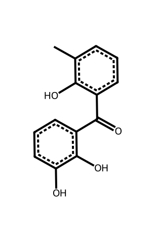 Cc1cccc(C(=O)c2cccc(O)c2O)c1O